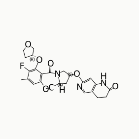 Cc1cc2c(c(O[C@@H]3CCOC3)c1F)C(=O)N1C[C@@H](Oc3cc4c(cn3)CCC(=O)N4)C[C@@H]1CO2